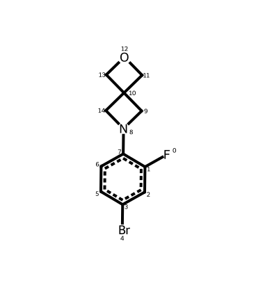 Fc1cc(Br)ccc1N1CC2(COC2)C1